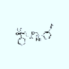 CP(=O)(OC[C@H]1CN[C@@H](c2cccc(C#N)c2)CO1)c1ccccc1